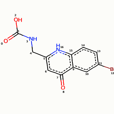 O=C(O)NCc1cc(=O)c2cc(Br)ccc2[nH]1